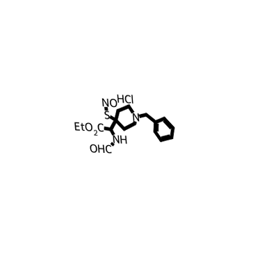 CCOC(=O)C(NC=O)C1(SN=O)CCN(Cc2ccccc2)CC1.Cl